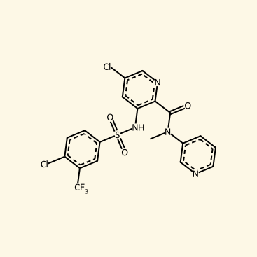 CN(C(=O)c1ncc(Cl)cc1NS(=O)(=O)c1ccc(Cl)c(C(F)(F)F)c1)c1cccnc1